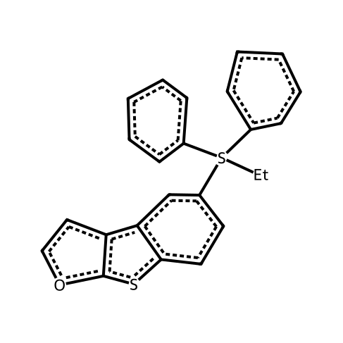 CCS(c1ccccc1)(c1ccccc1)c1ccc2sc3occc3c2c1